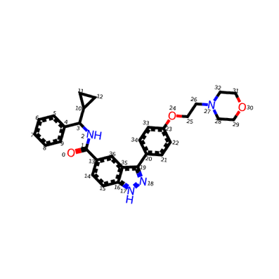 O=C(NC(c1ccccc1)C1CC1)c1ccc2[nH]nc(-c3ccc(OCCN4CCOCC4)cc3)c2c1